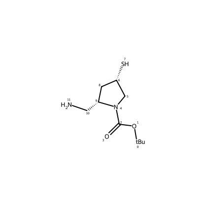 CC(C)(C)OC(=O)N1C[C@@H](S)C[C@H]1CN